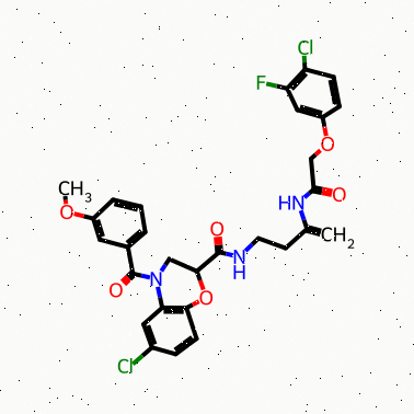 C=C(CCNC(=O)C1CN(C(=O)c2cccc(OC)c2)c2cc(Cl)ccc2O1)NC(=O)COc1ccc(Cl)c(F)c1